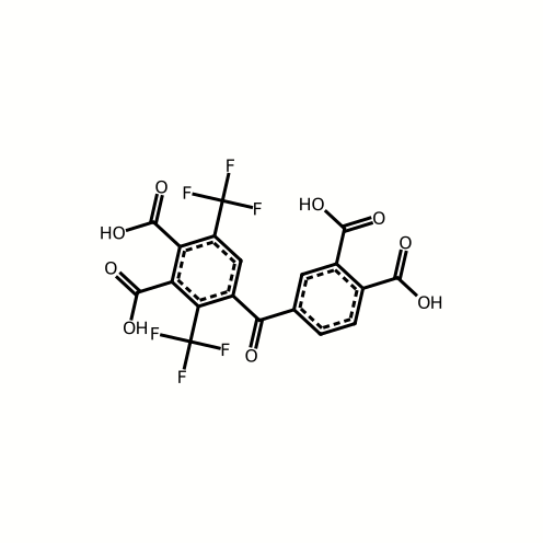 O=C(O)c1ccc(C(=O)c2cc(C(F)(F)F)c(C(=O)O)c(C(=O)O)c2C(F)(F)F)cc1C(=O)O